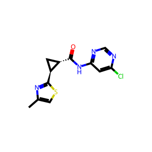 Cc1csc([C@H]2C[C@@H]2C(=O)Nc2cc(Cl)ncn2)n1